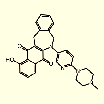 CN1CCN(c2ccc(N3Cc4ccccc4CC4=C3C(=O)c3cccc(O)c3C4=O)cn2)CC1